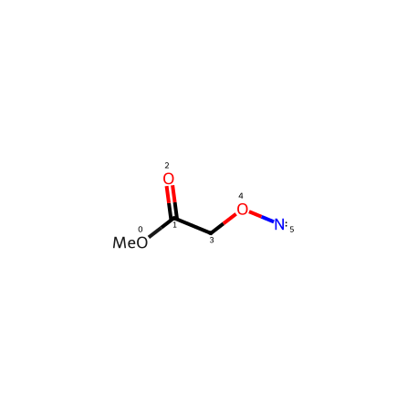 COC(=O)CO[N]